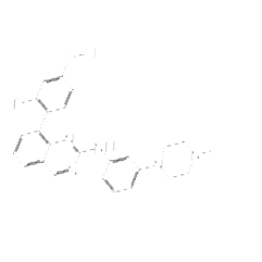 COc1ccc(-c2cccc3cnc(Nc4cccc(N5CCN(C)CC5)c4)nc23)c(F)c1